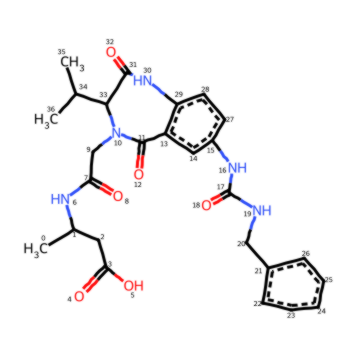 CC(CC(=O)O)NC(=O)CN1C(=O)c2cc(NC(=O)NCc3ccccc3)ccc2NC(=O)C1C(C)C